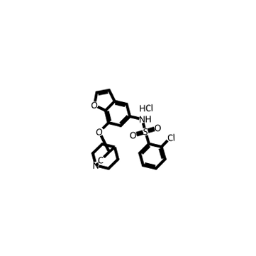 Cl.O=S(=O)(Nc1cc(OC2CN3CCC2CC3)c2occc2c1)c1ccccc1Cl